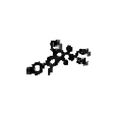 CC[C@H](C)OC(=O)c1cn(CC)c2cc(N3CCNCC3)c(F)cc2c1=O